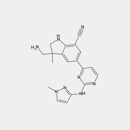 Cn1ccc(Nc2nccc(-c3cc(C#N)c4c(c3)C(C)(CN)CN4)n2)n1